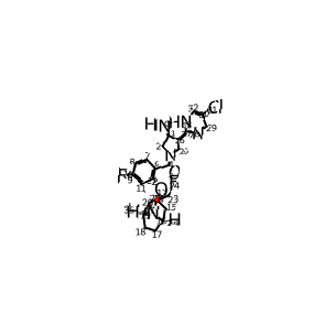 N=C1CN(C(=O)c2ccc(F)cc2O[C@H]2C[C@H]3CC[C@@H](C2)N3CCF)C/C1=C1\N=CC(Cl)=CN1